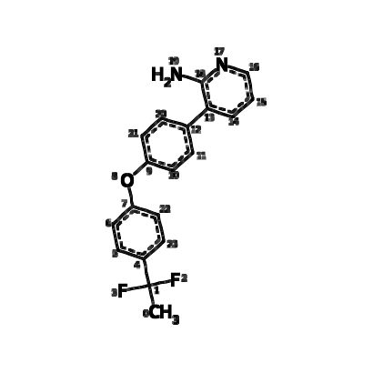 CC(F)(F)c1ccc(Oc2ccc(-c3cccnc3N)cc2)cc1